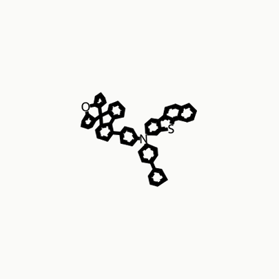 c1ccc(-c2ccc(N(c3ccc(-c4cccc5c4-c4ccccc4C54c5ccccc5Oc5ccccc54)cc3)c3ccc4c(c3)sc3c5ccccc5ccc43)cc2)cc1